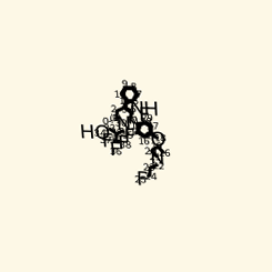 C[C@@H]1Cc2c([nH]c3ccccc23)[C@@H](c2c(F)cc(OC3CN(CCCF)C3)cc2F)N1CC(CO)C(F)(F)F